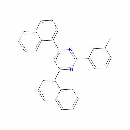 Cc1cccc(-c2nc(-c3cccc4ccccc34)cc(-c3cccc4ccccc34)n2)c1